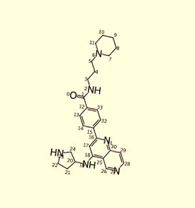 O=C(NCCCN1CCCCC1)c1ccc(-c2cc(NC3CCNC3)c3cnccc3n2)cc1